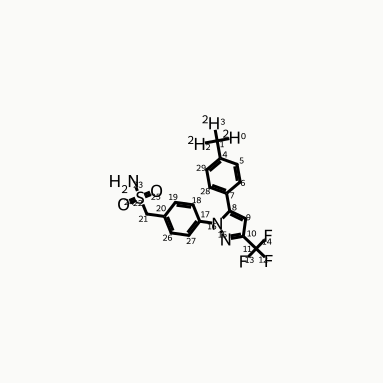 [2H]C([2H])([2H])c1ccc(-c2cc(C(F)(F)F)nn2-c2ccc(CS(N)(=O)=O)cc2)cc1